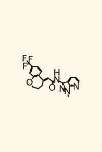 Cn1nc(NC(=O)C=C2CCCOc3cc(C(F)(F)F)ccc32)c2cccnc21